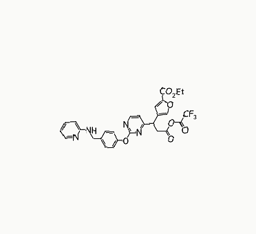 CCOC(=O)c1cc(C(CC(=O)OC(=O)C(F)(F)F)c2ccnc(Oc3ccc(CNc4ccccn4)cc3)n2)co1